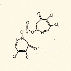 O=C1CN(O[PH](=O)ON2CC(=O)C(Cl)=C(Cl)C=N2)N=CC(Cl)=C1Cl